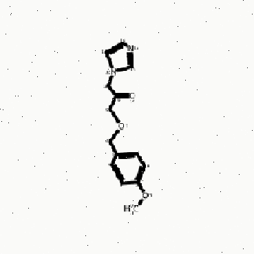 COc1ccc(COCC(=O)Cn2ccnc2)cc1